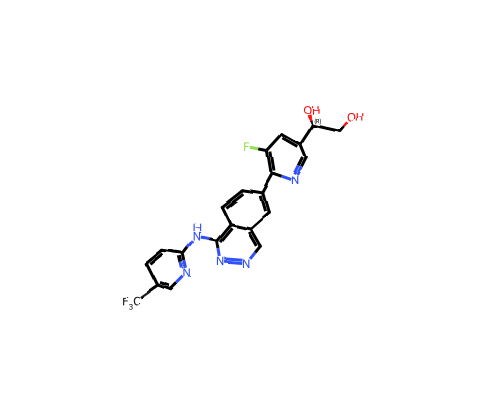 OC[C@H](O)c1cnc(-c2ccc3c(Nc4ccc(C(F)(F)F)cn4)nncc3c2)c(F)c1